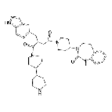 O=C(CC(Cc1ccc2[nH]ccc2c1)C(=O)N1CCC(C2CCNCC2)CC1)N1CCC(N2CCc3ccccc3NC2=O)CC1